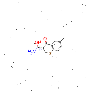 Cc1ccc2c(c1)C(=O)/C(=C(/N)O)CS2